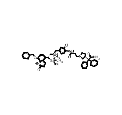 CC(C)(C)[Si](C)(C)O[C@@H](CNCc1ccc(NC(=O)CCN2CC[C@@H](C(C(N)=O)(c3ccccc3)c3ccccc3)C2)c(Cl)c1)c1ccc(OCc2ccccc2)c2[nH]c(=O)ccc12